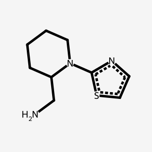 NCC1CCCCN1c1nccs1